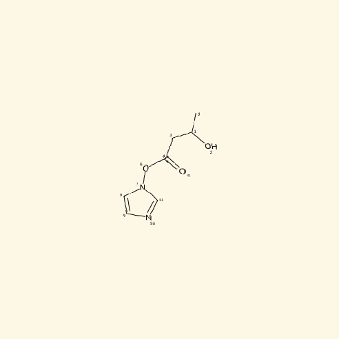 CC(O)CC(=O)On1ccnc1